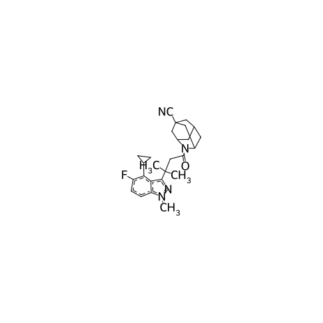 Cn1nc(C(C)(C)CC(=O)N2C3CC4CC2CC(C#N)(C4)C3)c2c(C3CC3)c(F)ccc21